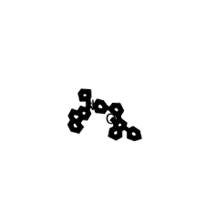 c1ccc(-c2cc3c4cccc(-c5ccc(N(c6ccccc6)c6ccc7c(ccc8ccccc87)c6)cc5)c4oc3c3ccccc23)cc1